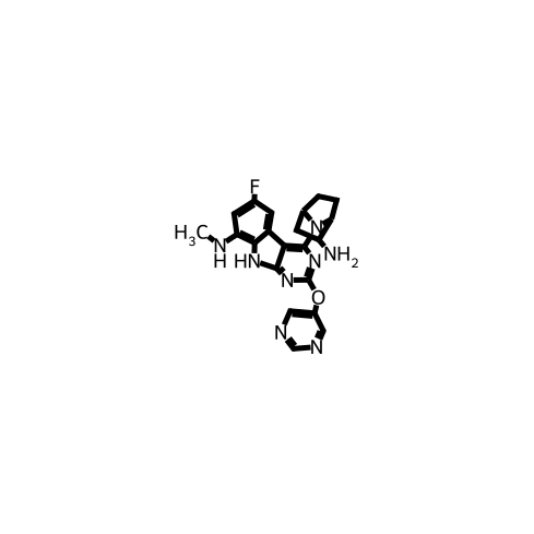 CNc1cc(F)cc2c1[nH]c1nc(Oc3cncnc3)nc(N3C4CCC3C(N)C4)c12